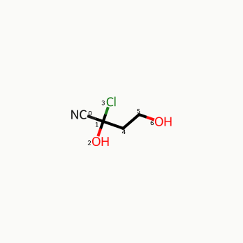 N#CC(O)(Cl)CCO